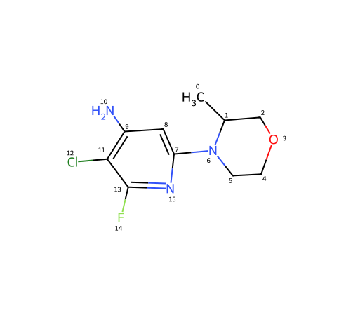 CC1COCCN1c1cc(N)c(Cl)c(F)n1